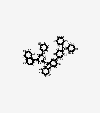 c1ccc(-c2nc(-c3cccc4ccccc34)nc(-n3c4ccccc4c4ccc(-c5ccc(N(c6ccccc6)c6ccccc6)cc5)cc43)n2)cc1